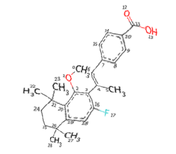 COc1c(C(C)=Cc2ccc(C(=O)O)cc2)c(F)cc2c1C(C)(C)CCC2(C)C